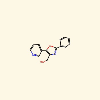 OCc1nc(-c2ccccc2)oc1-c1cccnc1